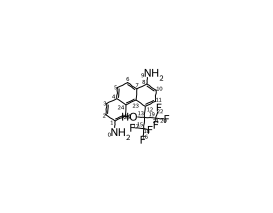 Nc1ccc2ccc3c(N)ccc(C(O)(C(F)(F)F)C(F)(F)F)c3c2c1